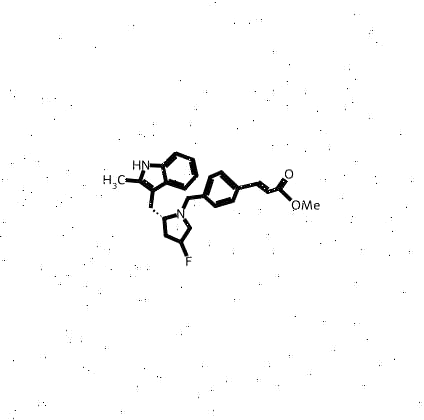 COC(=O)C=Cc1ccc(CN2CC(F)C[C@@H]2Cc2c(C)[nH]c3ccccc23)cc1